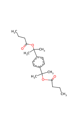 CCCC(=O)OC(C)(C)c1ccc(C(C)(C)OC(=O)CCC)cc1